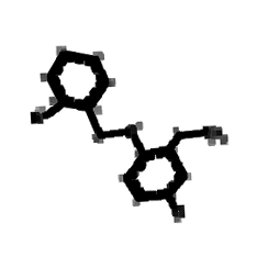 NCc1cc(Cl)ccc1OCc1ccccc1Br